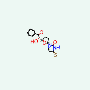 O=C(c1ccccc1)C(O)[C@@H]1CC[C@H](n2ccc(=S)[nH]c2=O)O1